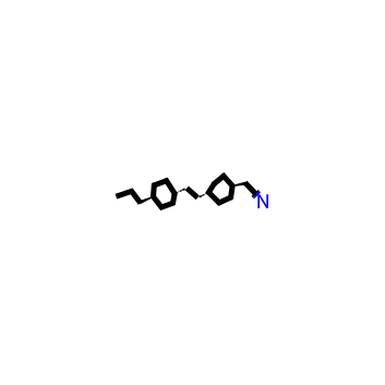 CCC[C@H]1CC[C@H](CC[C@H]2CC[C@H](CC#N)CC2)CC1